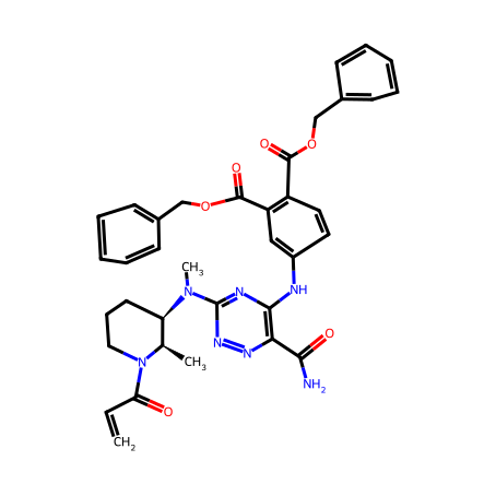 C=CC(=O)N1CCC[C@@H](N(C)c2nnc(C(N)=O)c(Nc3ccc(C(=O)OCc4ccccc4)c(C(=O)OCc4ccccc4)c3)n2)[C@H]1C